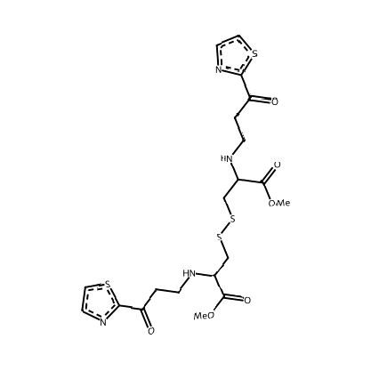 COC(=O)C(CSSCC(NCCC(=O)c1nccs1)C(=O)OC)NCCC(=O)c1nccs1